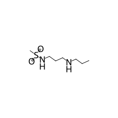 CCCNCCCNS(C)(=O)=O